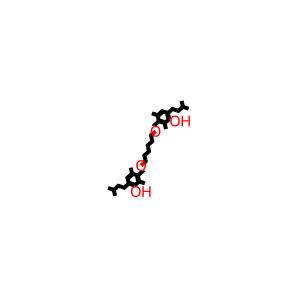 Cc1cc(CCC(C)C)c(O)c(C)c1COCCCCCCOCc1c(C)cc(CCC(C)C)c(O)c1C